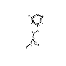 CC1OC1CCc1ccccc1